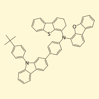 CC(C)(C)c1ccc(-n2c3ccccc3c3ccc(-c4ccc(N(C5=c6sc7ccccc7c6=CCC5)c5cccc6c5oc5ccccc56)cc4)cc32)cc1